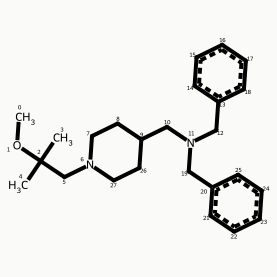 COC(C)(C)CN1CCC(CN(Cc2ccccc2)Cc2ccccc2)CC1